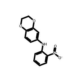 O=[N+]([O-])c1ccccc1Nc1ccc2c(c1)OCCO2